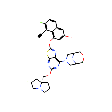 C#Cc1c(F)ccc2cc(O)cc(Oc3nc4c(N5CC6COCC(C5)N6)nc(OC[C@@]56CCCN5C[C@H](F)C6)nc4s3)c12.Cl